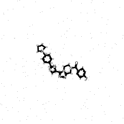 O=C(c1ccc(F)cc1)N1CCn2c(nnc2-c2csc(-c3ccc(N4CCCC4)cc3)n2)C1